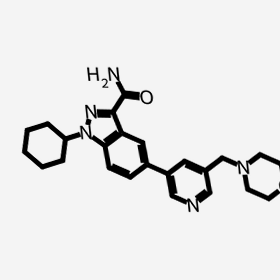 NC(=O)c1nn(C2CCCCC2)c2ccc(-c3cncc(CN4CCOCC4)c3)cc12